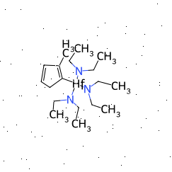 CC[N](CC)[Hf]([C]1=C(C)C=CC1)([N](CC)CC)[N](CC)CC